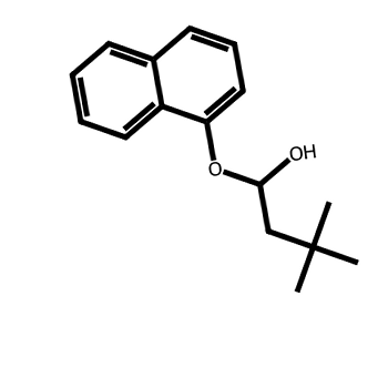 CC(C)(C)CC(O)Oc1cccc2ccccc12